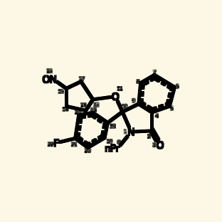 CCCN1C(=O)c2ccccc2C1(OC1CCC(N=O)C1)c1ccc(F)cc1